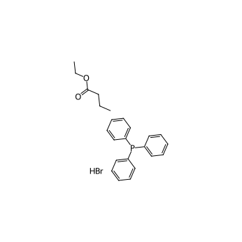 Br.CCCC(=O)OCC.c1ccc(P(c2ccccc2)c2ccccc2)cc1